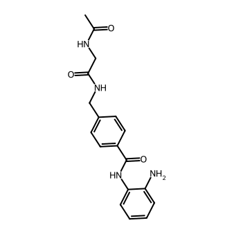 CC(=O)NCC(=O)NCc1ccc(C(=O)Nc2ccccc2N)cc1